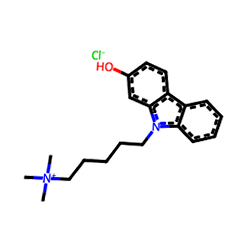 C[N+](C)(C)CCCCCn1c2ccccc2c2ccc(O)cc21.[Cl-]